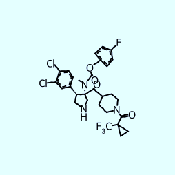 CN(C(=O)Oc1ccc(F)cc1)[C@]1(C(=O)C2CCN(C(=O)C3(C(F)(F)F)CC3)CC2)CNC[C@H]1c1ccc(Cl)c(Cl)c1